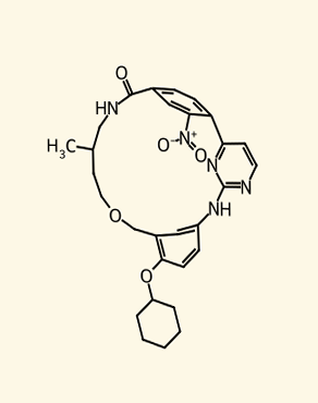 CC1CCOCc2cc(ccc2OC2CCCCC2)Nc2nccc(n2)-c2ccc(cc2[N+](=O)[O-])C(=O)NC1